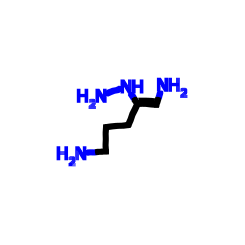 N/C=C(/CCCN)NN